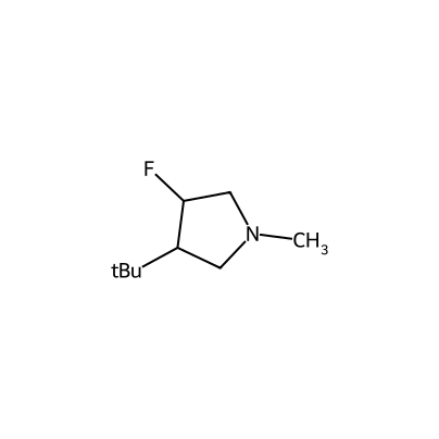 CN1CC(F)C(C(C)(C)C)C1